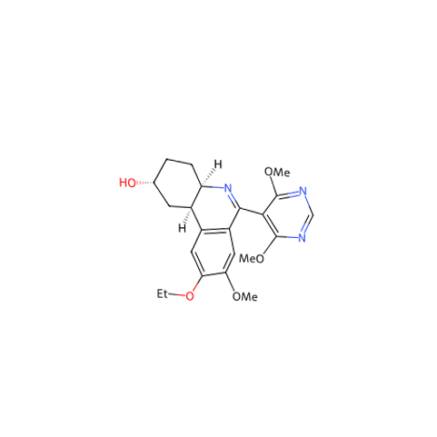 CCOc1cc2c(cc1OC)C(c1c(OC)ncnc1OC)=N[C@@H]1CC[C@@H](O)C[C@H]21